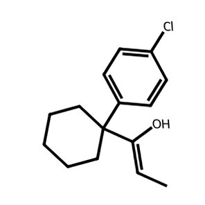 CC=C(O)C1(c2ccc(Cl)cc2)CCCCC1